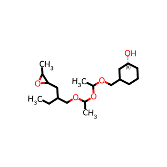 CCC(COC(C)OC(C)OCC1CCC[C@@H](O)C1)CC1OC1C